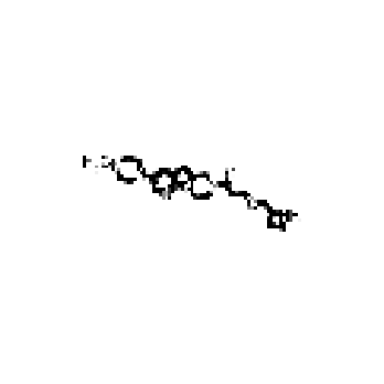 CN1CCN(c2cnc3c(c2)cc2n3CCN(C(=O)CCOCC3CCN3)C2)CC1